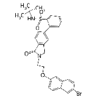 CC(C)(C)NS(=O)(=O)c1ccccc1-c1ccc2c(c1)CN(CCOc1ccc3cc(Br)ccc3c1)C2=O